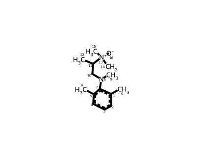 Cc1cccc(C)c1N(C)CC(C)[N+](C)(C)[O-]